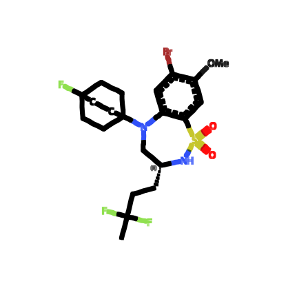 COc1cc2c(cc1Br)N(C13CCC(F)(CC1)CC3)C[C@@H](CCC(C)(F)F)NS2(=O)=O